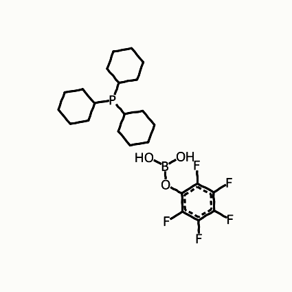 C1CCC(P(C2CCCCC2)C2CCCCC2)CC1.OB(O)Oc1c(F)c(F)c(F)c(F)c1F